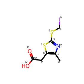 Cc1nc(SCI)sc1CC(=O)O